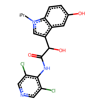 CC(C)n1cc(C(O)C(=O)Nc2c(Cl)cncc2Cl)c2cc(O)ccc21